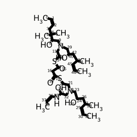 C/C=C\CC(C)(C)C(O)CN(CCSC(=O)CC(=O)SCCN(CC(O)CC(C)/C=C\C)CC(O)N/C=C\C)CC(O)CC(C)/C=C\C